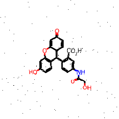 O=C1C=CC2C(=C1)Oc1cc(O)ccc1C2c1ccc(NC(=O)CO)cc1C(=O)O